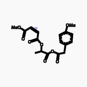 COC(=O)/C=C\C(=O)OC(C)C(=O)OC(=O)Cc1ccc(OC)cc1